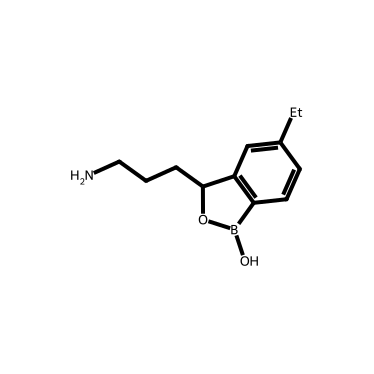 CCc1ccc2c(c1)C(CCCN)OB2O